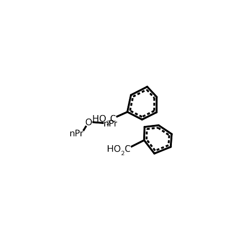 CCCOCCC.O=C(O)c1ccccc1.O=C(O)c1ccccc1